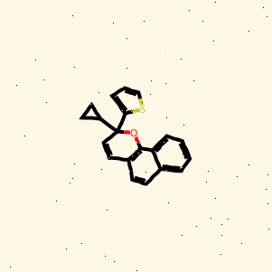 C1=CC(c2cccs2)(C2CC2)Oc2c1ccc1ccccc21